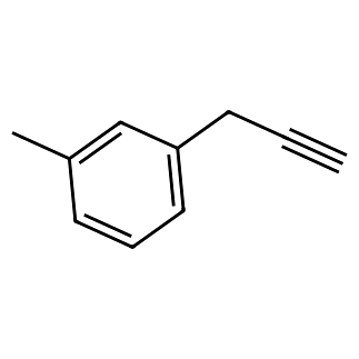 C#CCc1cccc(C)c1